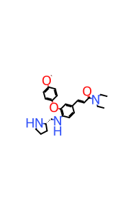 CCN(CC)C(=O)C=Cc1ccc(NC[C@@H]2CCCN2)c(Oc2ccc(OC)cc2)c1